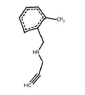 C#CCNCc1ccccc1C